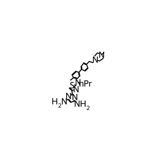 CCCN(c1nc(-c2nc(N)cc(N)n2)cs1)c1cc(-c2ccc(CCN3CCN(C)CC3)cc2)ccc1C